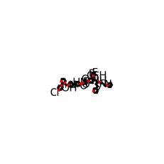 O=C(NS(=O)(=O)c1ccc(N[C@H](CCNCc2ccccn2)CSc2ccccc2)c(S(=O)(=O)C(F)(F)F)c1)c1ccc(N2CCC([C@@H](O)c3ccccc3-c3ccc(Cl)cc3)CC2)cc1